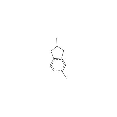 C[C]1Cc2ccc(C)cc2C1